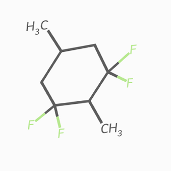 CC1CC(F)(F)C(C)C(F)(F)C1